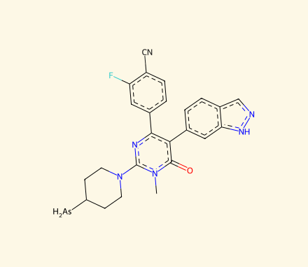 Cn1c(N2CCC([AsH2])CC2)nc(-c2ccc(C#N)c(F)c2)c(-c2ccc3cn[nH]c3c2)c1=O